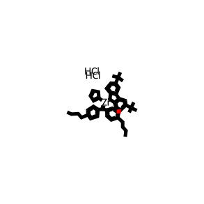 CCCCc1ccc([C](c2ccc(CCCC)cc2)=[Zr]([C]2=CC=CC2)[CH]2c3ccc(C(C)(C)C)cc3-c3cc(C(C)(C)C)ccc32)cc1.Cl.Cl